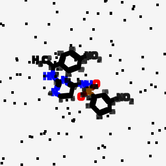 C[C@H](Nc1nccc(NS(=O)(=O)c2cccc([N+](=O)[O-])c2)n1)c1ccc([N+](=O)[O-])cc1